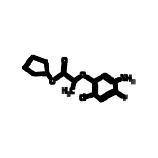 CC(Oc1cc(N)c(F)cc1Cl)C(=O)OC1CCCC1